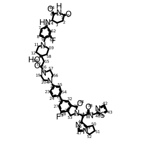 O=C1CC[C@@H](Nc2ccc(N3CCC(O)(CC(=O)N4CCN(c5ccc(-c6cc(F)c7c(c6)C(=O)N(C(C(=O)Nc6nccs6)c6ncn8c6CCC8)C7)cc5)CC4)CC3)c(F)c2)C(=O)N1